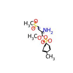 COC(OS(=O)(=O)c1ccc(C)cc1)[C@H](N)/C=C/S(C)(=O)=O